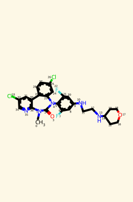 CN1C(=O)N(c2c(F)cc(NCCNC3CCOCC3)cc2F)c2cc(Cl)ccc2-c2cc(Cl)cnc21